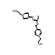 CCC(N=Nc1cc[n+](CCO)cc1)=NN=c1ccn(CCO)cc1